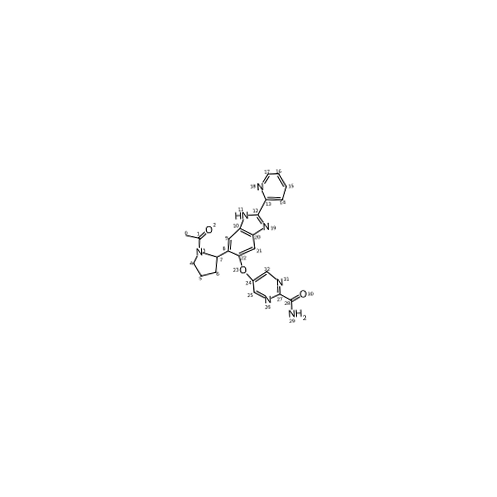 CC(=O)N1CCCC1c1cc2[nH]c(-c3ccccn3)nc2cc1Oc1cnc(C(N)=O)nc1